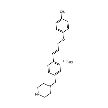 Cc1ccc(OCC=Cc2ccc(CN3CCNCC3)cc2)cc1.Cl.Cl